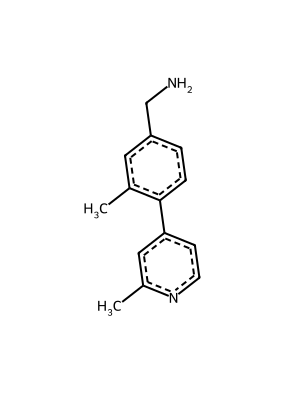 Cc1cc(-c2ccc(CN)cc2C)ccn1